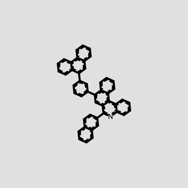 c1cc(-c2cc3ccccc3c3ccccc23)cc(-c2cc3c(-c4ccc5ccccc5c4)nc4ccccc4c3c3ccccc23)c1